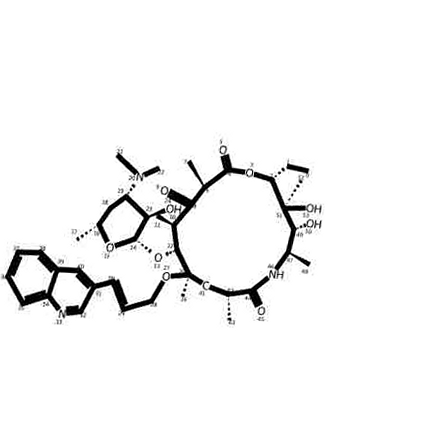 CC[C@H]1OC(=O)[C@H](C)C(=O)[C@H](C)[C@@H](O[C@@H]2O[C@H](C)C[C@H](N(C)C)[C@H]2O)[C@](C)(OC/C=C/c2cnc3ccccc3c2)C[C@@H](C)C(=O)N[C@H](C)[C@@H](O)[C@]1(C)O